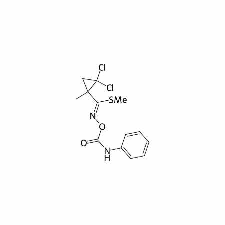 CS/C(=N\OC(=O)Nc1ccccc1)C1(C)CC1(Cl)Cl